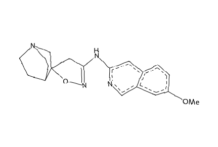 COc1ccc2cc(NC3=NOC4(C3)CN3CCC4CC3)ncc2c1